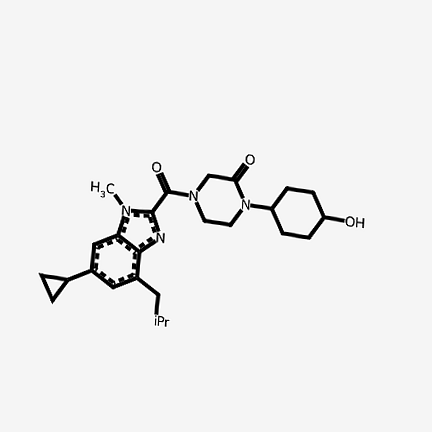 CC(C)Cc1cc(C2CC2)cc2c1nc(C(=O)N1CCN(C3CCC(O)CC3)C(=O)C1)n2C